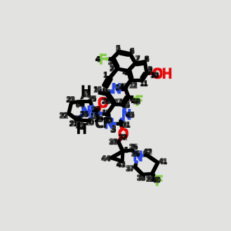 C#Cc1c(F)ccc2cc(O)cc(-c3nc(C)c4c(N5C[C@H]6CC[C@@H](C5)N6C(=O)C(F)(F)F)nc(OCC5(CN6CCC(F)CC6)CC5)nc4c3F)c12